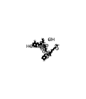 COC(=O)CCCCCN(C)C(=O)[C@H](CC1CCCCC1)NC(=O)CNC(=O)[C@@H](CCSC)NC(=O)[C@H](N)Cc1c(C)cc(O)cc1C.Cl